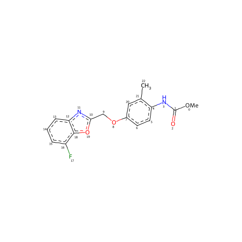 COC(=O)Nc1ccc(OCc2nc3cccc(F)c3o2)cc1C